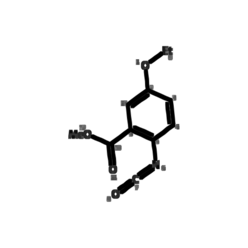 CCOc1ccc(N=C=O)c(C(=O)OC)c1